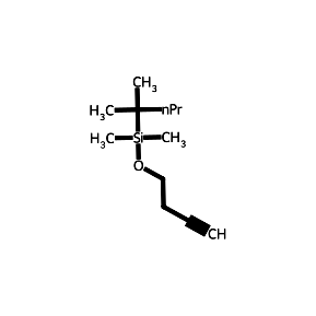 C#CCCO[Si](C)(C)C(C)(C)CCC